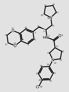 O=C(N[C@@H](Cc1ccc2c(c1)OCCO2)CN1CCCC1)C1CCN(c2ccc(Cl)cc2)C1